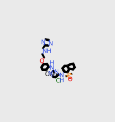 COc1ccc(OCCNCc2cnccn2)cc1Nc1ncc(Cl)c(Nc2ccc3ccccc3c2P(C)(C)=O)n1